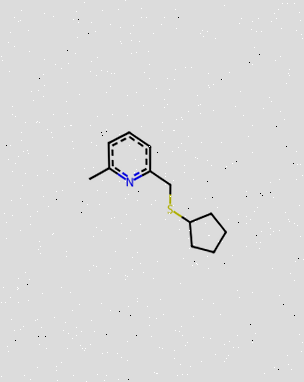 Cc1cccc(CSC2CCCC2)n1